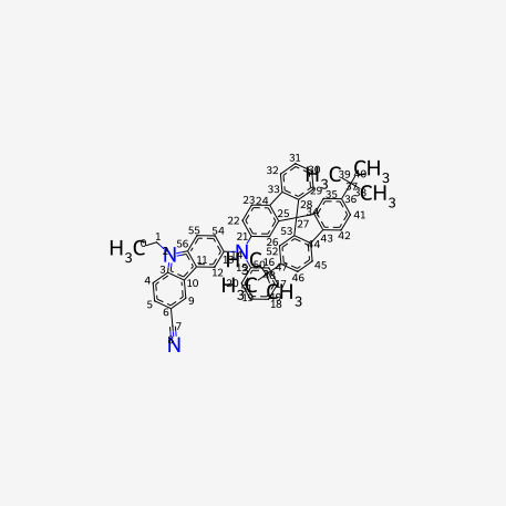 CCn1c2ccc(C#N)cc2c2cc(N(c3ccccc3)c3ccc4c(c3)C3(c5ccccc5-4)c4cc(C(C)(C)C)ccc4-c4ccc(C(C)(C)C)cc43)ccc21